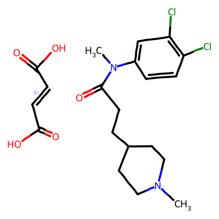 CN1CCC(CCC(=O)N(C)c2ccc(Cl)c(Cl)c2)CC1.O=C(O)/C=C/C(=O)O